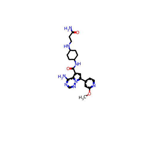 COc1cc(-c2cc(C(=O)NC3CCC(NCCC(N)=O)CC3)c3c(N)ncnn23)ccn1